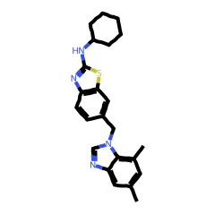 Cc1cc(C)c2c(c1)ncn2Cc1ccc2nc(NC3CCCCC3)sc2c1